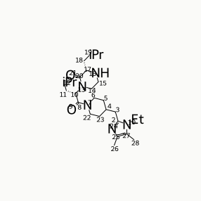 CCn1c(CC2CCN(C(=O)[C@H](CC(C)C)N3CCN[C@@H](CC(C)C)C3=O)CC2)nc(C)c1C